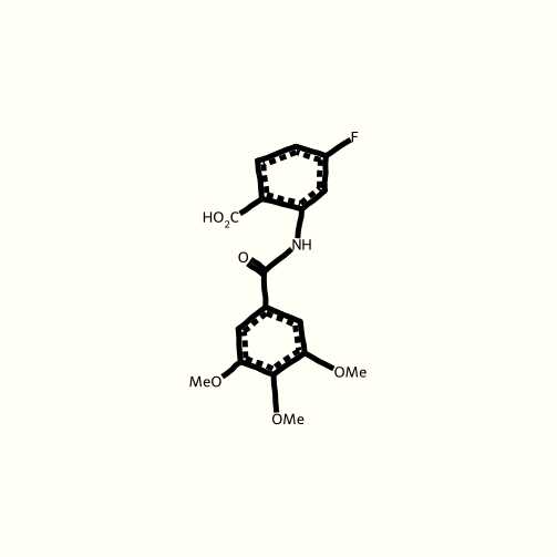 COc1cc(C(=O)Nc2cc(F)ccc2C(=O)O)cc(OC)c1OC